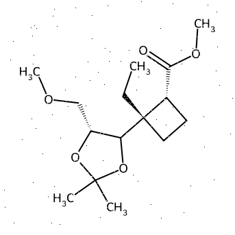 CC[C@]1(C2OC(C)(C)O[C@@H]2COC)CC[C@H]1C(=O)OC